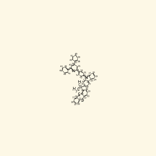 CC1(C)c2cc3c(cc2-c2ccc4c(c21)Sc1ccccc1S4)c1ccccc1n3-c1ccc(-c2cc(-c3ccccc3)cc(-c3ccccc3)n2)cc1